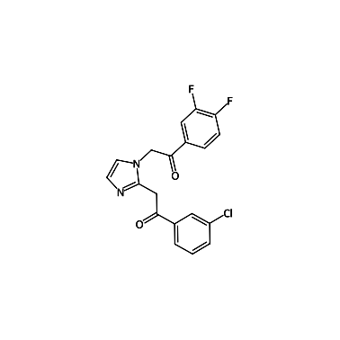 O=C(Cc1nccn1CC(=O)c1ccc(F)c(F)c1)c1cccc(Cl)c1